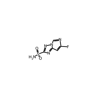 NS(=O)(=O)c1nc2cc(F)ncn2n1